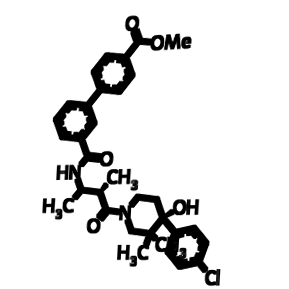 COC(=O)c1ccc(-c2cccc(C(=O)NC(C)[C@@H](C)C(=O)N3CC[C@](O)(c4ccc(Cl)cc4)C(C)(C)C3)c2)cc1